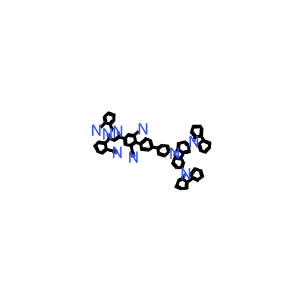 N#Cc1ccccc1-c1cc(-c2cc(C#N)c(-c3ccc(-c4ccc(-n5c6ccc(-n7c8ccccc8c8ccccc87)cc6c6cc(-n7c8ccccc8c8ccccc87)ccc65)cc4)cc3)c(C#N)c2)nc(-c2ccccc2C#N)n1